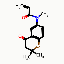 C=CC(=O)N(C)c1ccc2c(c1)C(=O)CC(C)(C)S2